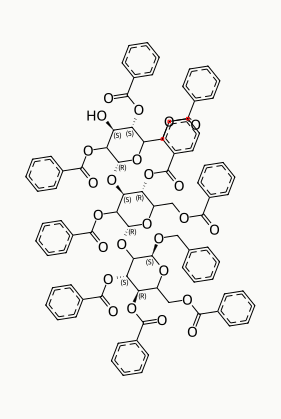 O=C(OCC1O[C@H](O[C@@H]2C(OC(=O)c3ccccc3)[C@@H](OC3[C@@H](OCc4ccccc4)OC(COC(=O)c4ccccc4)[C@@H](OC(=O)c4ccccc4)[C@@H]3OC(=O)c3ccccc3)OC(COC(=O)c3ccccc3)[C@H]2OC(=O)c2ccccc2)C(OC(=O)c2ccccc2)[C@@H](O)[C@@H]1OC(=O)c1ccccc1)c1ccccc1